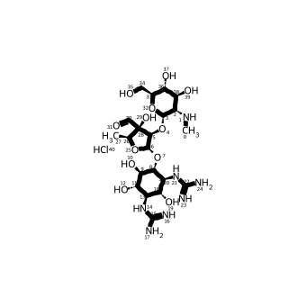 CN[C@@H]1[C@H](O[C@H]2[C@H](O[C@H]3[C@H](O)[C@@H](O)[C@H](NC(=N)N)[C@@H](O)[C@@H]3NC(=N)N)O[C@@H](C)[C@]2(O)C=O)O[C@@H](CO)[C@H](O)[C@H]1O.Cl